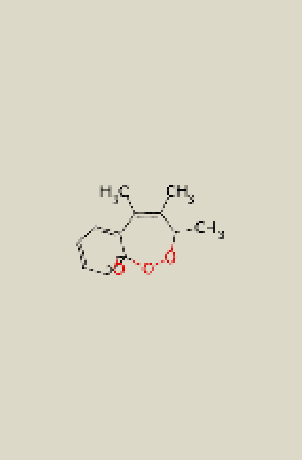 CC1=C(C)C(C)OOC23COC=C2C=CC=C13